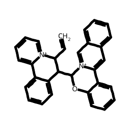 C=CC1C(C2Oc3ccccc3-c3cc4ccccc4c[n+]32)c2ccccc2-c2cccc[n+]21